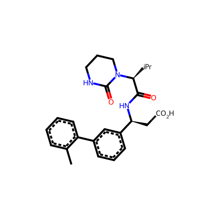 Cc1ccccc1-c1cccc([C@H](CC(=O)O)NC(=O)[C@H](C(C)C)N2CCCNC2=O)c1